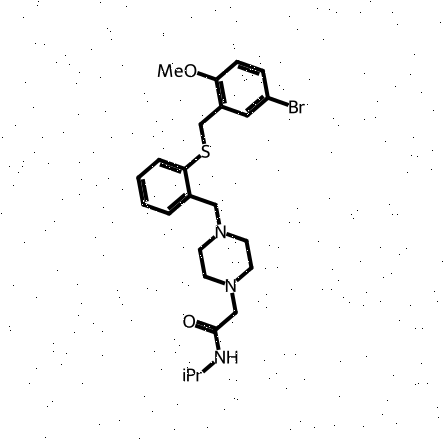 COc1ccc(Br)cc1CSc1ccccc1CN1CCN(CC(=O)NC(C)C)CC1